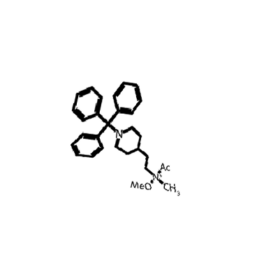 CO[N+](C)(CCC1CCN(C(c2ccccc2)(c2ccccc2)c2ccccc2)CC1)C(C)=O